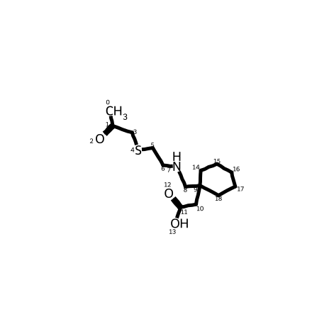 CC(=O)CSCCNCC1(CC(=O)O)CCCCC1